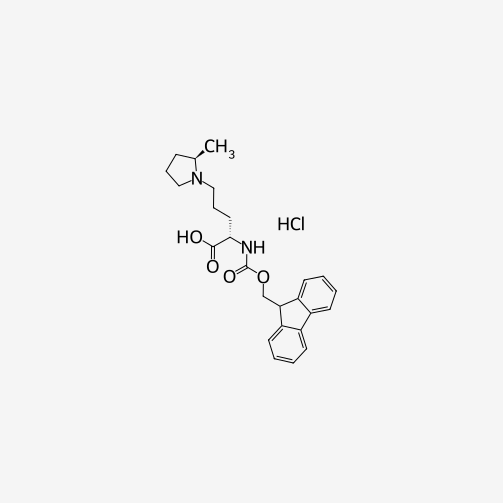 C[C@@H]1CCCN1CCC[C@H](NC(=O)OCC1c2ccccc2-c2ccccc21)C(=O)O.Cl